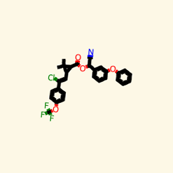 CC1(C)C(C=C(Cl)c2ccc(OC(F)(F)F)cc2)C1C(=O)OC(C#N)c1cccc(Oc2ccccc2)c1